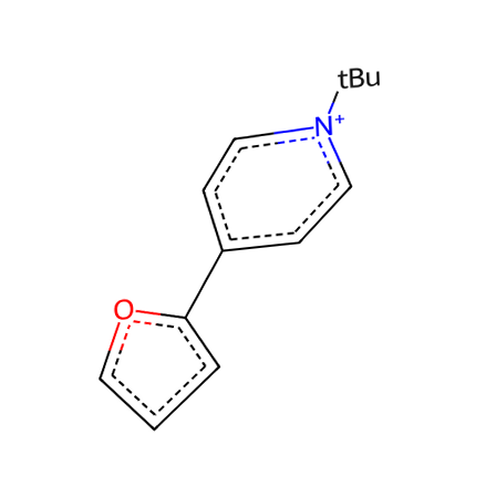 CC(C)(C)[n+]1ccc(-c2ccco2)cc1